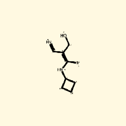 N=C/C(CO)=C(/Br)NC1CCC1